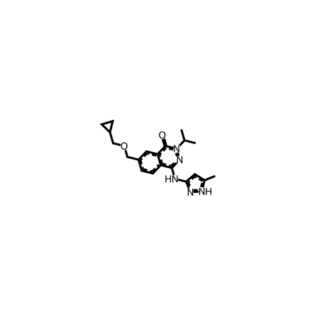 Cc1cc(Nc2nn(C(C)C)c(=O)c3cc(COCC4CC4)ccc23)n[nH]1